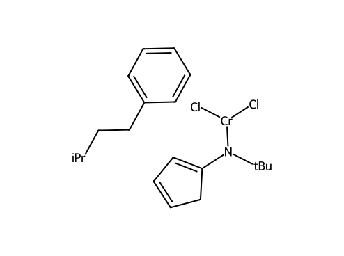 CC(C)(C)[N](C1=CC=CC1)[Cr]([Cl])[Cl].CC(C)CCc1ccccc1